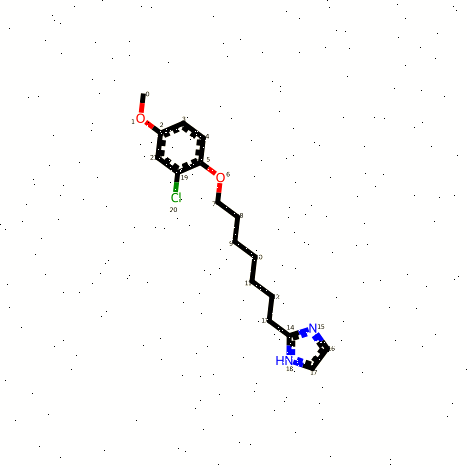 COc1ccc(OCCCCCCCc2ncc[nH]2)c(Cl)c1